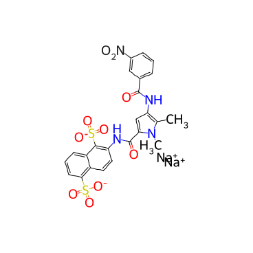 Cc1c(NC(=O)c2cccc([N+](=O)[O-])c2)cc(C(=O)Nc2ccc3c(S(=O)(=O)[O-])cccc3c2S(=O)(=O)[O-])n1C.[Na+].[Na+]